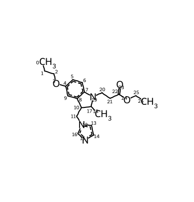 CCCOc1ccc2c(c1)C(Cn1ccnc1)C(C)N2CCC(=O)OCC